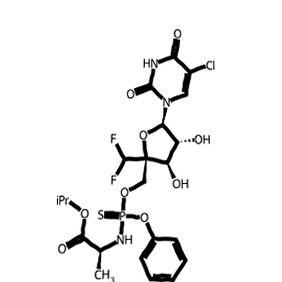 CC(C)OC(=O)[C@H](C)NP(=S)(OC[C@@]1(C(F)F)O[C@@H](n2cc(Cl)c(=O)[nH]c2=O)[C@H](O)[C@H]1O)Oc1ccccc1